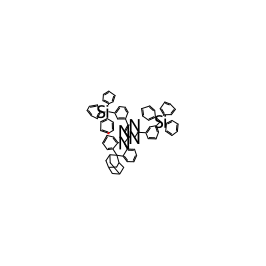 c1ccc([Si](c2ccccc2)(c2ccccc2)c2cccc(-c3nc(-c4cccc([Si](c5ccccc5)(c5ccccc5)c5ccccc5)c4)nc(N4c5ccccc5C5(c6ccccc64)C4CC6CC(C4)CC5C6)n3)c2)cc1